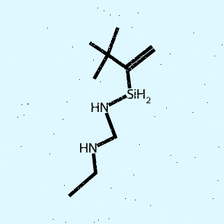 C=C([SiH2]NCNCC)C(C)(C)C